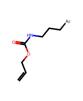 C=CCOC(=O)NCCCC(C)=O